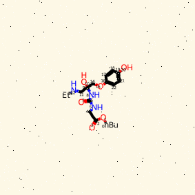 CCCCOC(=O)CNC(=O)NC(O)(CNCC)COc1ccc(O)cc1